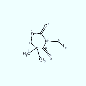 CC1(C)COC(=O)N(CI)C1=O